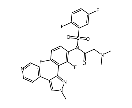 CN(C)CC(=O)N(c1ccc(F)c(-c2nn(C)cc2-c2ccncc2)c1F)S(=O)(=O)c1cc(F)ccc1F